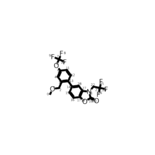 COCc1cc(OC(F)(F)F)ccc1-c1ccc2oc(=O)n(CC(F)(F)F)c2c1